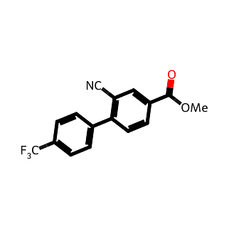 COC(=O)c1ccc(-c2ccc(C(F)(F)F)cc2)c(C#N)c1